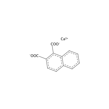 O=C([O-])c1ccc2ccccc2c1C(=O)[O-].[Ca+2]